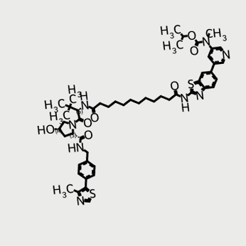 Cc1ncsc1-c1ccc(CNC(=O)[C@@H]2C[C@@H](O)CN2C(=O)[C@@H](NC(=O)CCCCCCCCCCC(=O)Nc2nc3ccc(-c4cncc(N(C)C(=O)OC(C)C)c4)cc3s2)C(C)(C)C)cc1